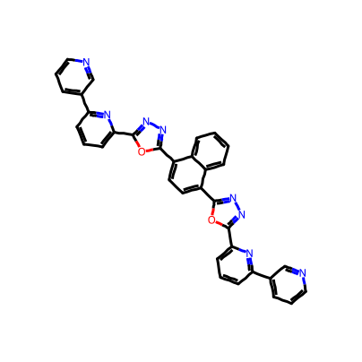 c1cncc(-c2cccc(-c3nnc(-c4ccc(-c5nnc(-c6cccc(-c7cccnc7)n6)o5)c5ccccc45)o3)n2)c1